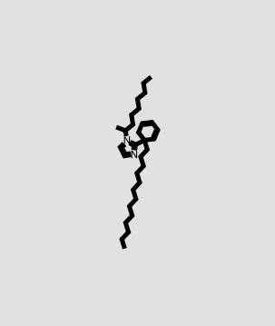 CCCCCCCCCCCCCC1(c2nccn2C(C)CCCCCCC)C=CC=CC1